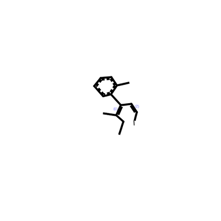 CC/C(C)=C(\C=C/I)c1ccccc1C